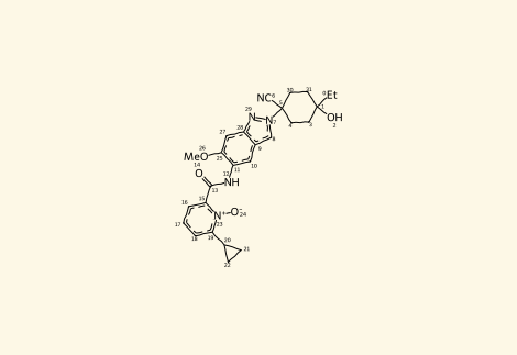 CCC1(O)CCC(C#N)(n2cc3cc(NC(=O)c4cccc(C5CC5)[n+]4[O-])c(OC)cc3n2)CC1